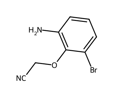 N#CCOc1c(N)cccc1Br